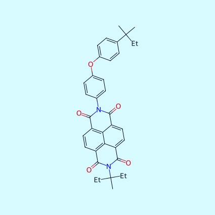 CCC(C)(C)c1ccc(Oc2ccc(N3C(=O)c4ccc5c6c(ccc(c46)C3=O)C(=O)N(C(C)(CC)CC)C5=O)cc2)cc1